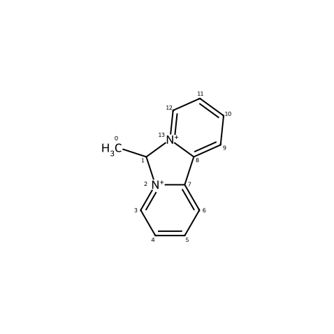 CC1[n+]2ccccc2-c2cccc[n+]21